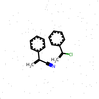 C=C(C#N)c1ccccc1.C=C(Cl)c1ccccc1